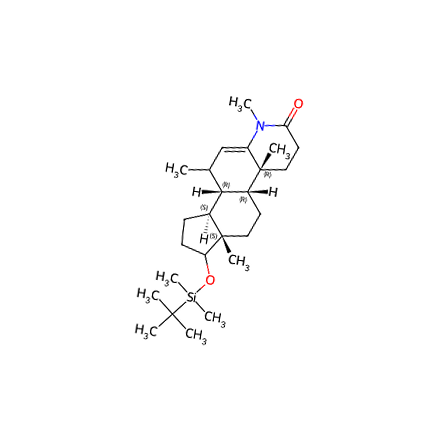 CC1C=C2N(C)C(=O)CC[C@]2(C)[C@@H]2CC[C@]3(C)C(O[Si](C)(C)C(C)(C)C)CC[C@H]3[C@H]12